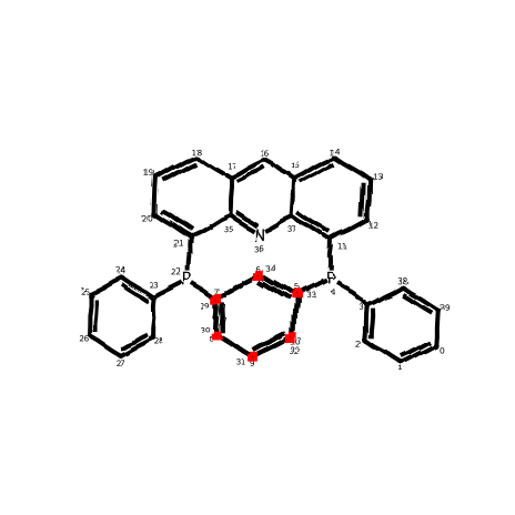 c1ccc(P(c2ccccc2)c2cccc3cc4cccc(P(c5ccccc5)c5ccccc5)c4nc23)cc1